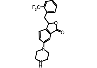 O=C1OC(Cc2ccccc2C(F)(F)F)c2ccc(N3CCNCC3)cc21